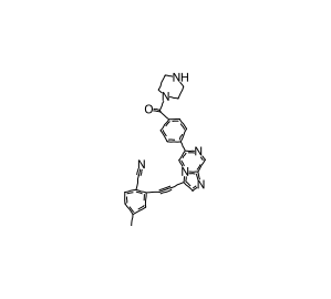 Cc1ccc(C#N)c(C#Cc2cnc3cnc(-c4ccc(C(=O)N5CCNCC5)cc4)cn23)c1